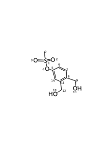 CS(=O)(=O)Oc1ccc(CO)c(CO)c1